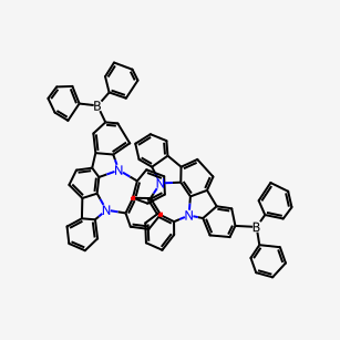 c1ccc(B(c2ccccc2)c2ccc3c(c2)c2ccc4c5ccccc5n(-c5cccc(-n6c7ccccc7c7ccc8c9cc(B(c%10ccccc%10)c%10ccccc%10)ccc9n(-c9ccccc9)c8c76)c5)c4c2n3-c2ccccc2)cc1